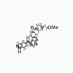 COCCN1CCN(C(=O)[C@H]2CCc3c(sc4ncnc(Nc5ccc6[nH]ncc6c5)c34)C2)CC1